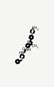 Cc1cc(-c2ccc(N3CCN(C)CC3)cc2)nc2ccc(NC(=O)CNC3CCN(Cc4ccccc4)CC3)cc12